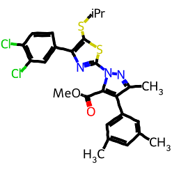 COC(=O)c1c(-c2cc(C)cc(C)c2)c(C)nn1-c1nc(-c2ccc(Cl)c(Cl)c2)c(SC(C)C)s1